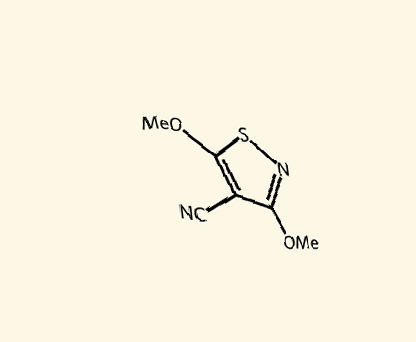 COc1nsc(OC)c1C#N